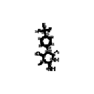 C[C@@H]1NC(=N)N(C)C(=O)[C@@H]1c1ccc(C(F)(F)F)cc1